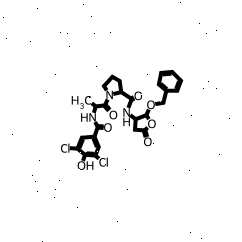 CC(NC(=O)c1cc(Cl)c(O)c(Cl)c1)C(=O)N1CCCC1C(=O)NC1CC(=O)OC1OCc1ccccc1